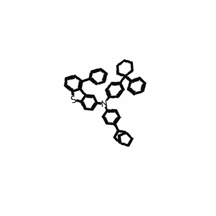 c1ccc(-c2cccc3sc4ccc(N(c5ccc(C6CC7CCC6C7)cc5)c5ccc(C6(c7ccccc7)CCCCC6)cc5)cc4c23)cc1